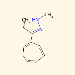 C=C/C(=N\NC)C1=CCC=CC=C1